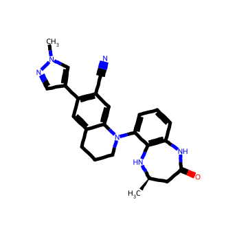 C[C@@H]1CC(=O)Nc2cccc(N3CCCc4cc(-c5cnn(C)c5)c(C#N)cc43)c2N1